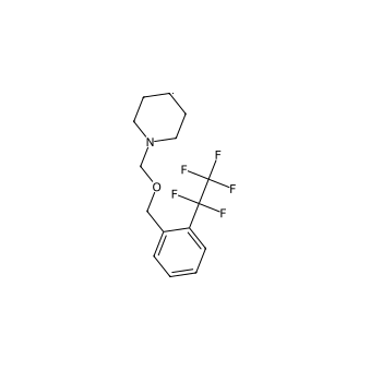 FC(F)(F)C(F)(F)c1ccccc1COCN1CC[CH]CC1